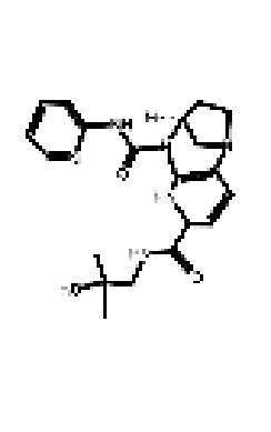 CC(C)(O)CNC(=O)C1C=CC2=C(N1)N(C(=O)Nc1ccccn1)[C@H]1CCN2C1